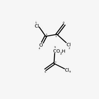 C=C(Cl)C(=O)Cl.C=C(Cl)C(=O)O